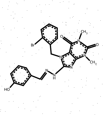 Cn1c(=O)c2c(nc(N/N=C/c3cccc(O)c3)n2Cc2ccccc2Br)n(C)c1=O